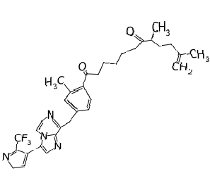 C=C(C)CC[C@H](C)C(=O)CCCCCC(=O)c1ccc(Cc2nccn3c(C4=CCN=C4C(F)(F)F)cnc23)cc1C